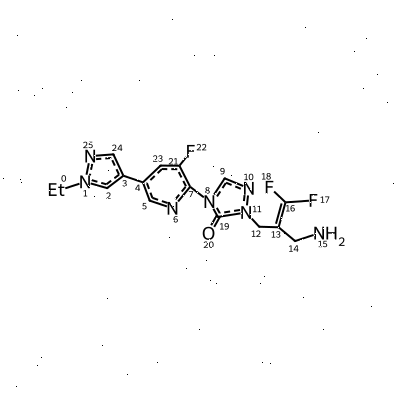 CCn1cc(-c2cnc(-n3cnn(CC(CN)=C(F)F)c3=O)c(F)c2)cn1